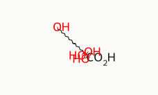 O=C(O)C(O)C(O)C(O)CCCCC=CCCCCCCCCO